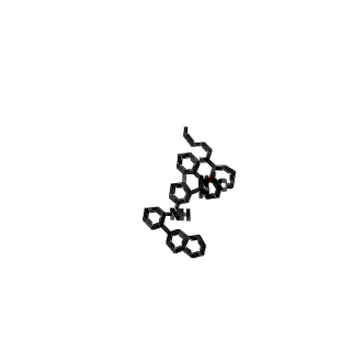 C=C(/C=C\C=C/C)c1ccccc1Nc1ccccc1-c1ccc(Nc2ccccc2-c2ccc3ccccc3c2)cc1-c1ccccc1